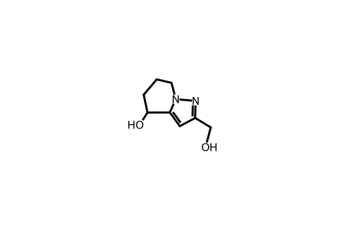 OCc1cc2n(n1)CCCC2O